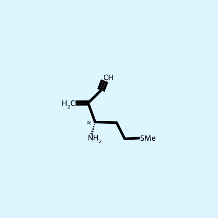 C#CC(=C)[C@@H](N)CCSC